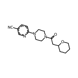 N#Cc1ccc(N2CCN(C(=O)CC3CCCCO3)CC2)nc1